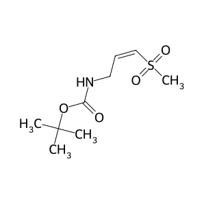 CC(C)(C)OC(=O)NC/C=C\S(C)(=O)=O